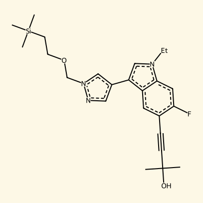 CCn1cc(-c2cnn(COCC[Si](C)(C)C)c2)c2cc(C#CC(C)(C)O)c(F)cc21